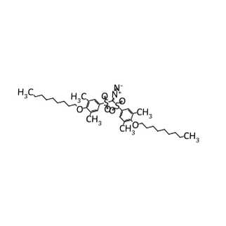 CCCCCCCCCOc1c(C)cc(S(=O)(=O)C(=[N+]=[N-])S(=O)(=O)c2cc(C)c(OCCCCCCCCC)c(C)c2)cc1C